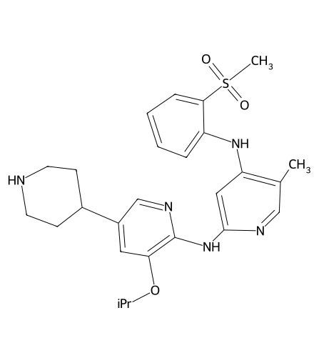 Cc1cnc(Nc2ncc(C3CCNCC3)cc2OC(C)C)cc1Nc1ccccc1S(C)(=O)=O